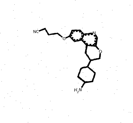 N#CCCCOc1ccc2ncc3c(c2c1)CC(C1CCC(N)CC1)CO3